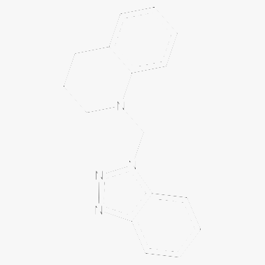 c1ccc2c(c1)CCCN2Cn1nnc2ccccc21